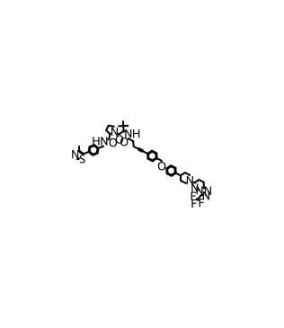 Cc1ncsc1-c1ccc(CNC(=O)C2CCCN2C(=O)C(NC(=O)CCC#Cc2ccc(COc3ccc(C4CCN(C5=Nn6c(nnc6C(F)(F)F)CC5)CC4)cc3)cc2)C(C)(C)C)cc1